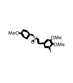 COc1ccc(C[S+]([O-])C=Cc2cc(I)c(OC)c(OC)c2)cc1